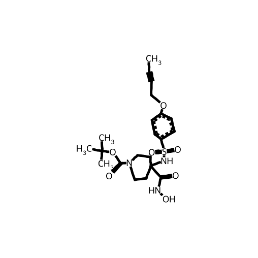 CC#CCOc1ccc(S(=O)(=O)NC2(C(=O)NO)CCN(C(=O)OC(C)(C)C)CC2)cc1